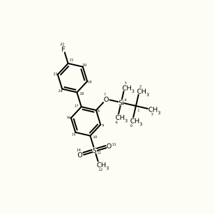 CC(C)(C)[Si](C)(C)Oc1cc(S(C)(=O)=O)ccc1-c1ccc(F)cc1